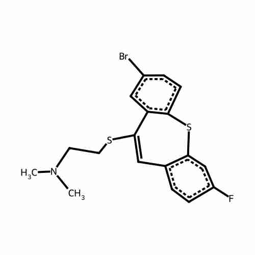 CN(C)CCSC1=Cc2ccc(F)cc2Sc2ccc(Br)cc21